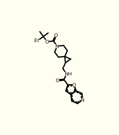 CCC(C)(C)OC(=O)N1CCC2(CC1)CC2CNC(=O)c1cc2ccncc2o1